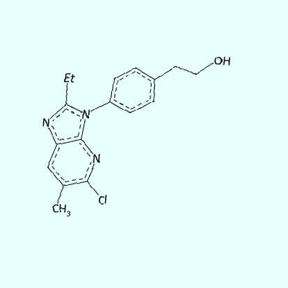 CCc1nc2cc(C)c(Cl)nc2n1-c1ccc(CCO)cc1